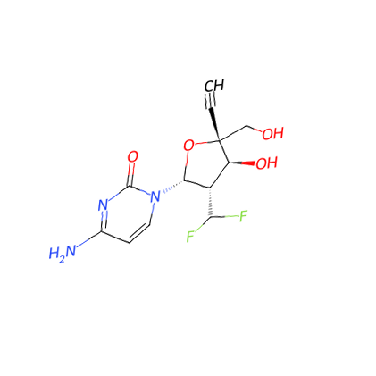 C#C[C@]1(CO)O[C@@H](n2ccc(N)nc2=O)[C@@H](C(F)F)[C@@H]1O